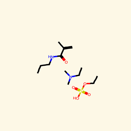 C=C(C)C(=O)NCCC.CCN(C)C.CCOS(=O)(=O)O